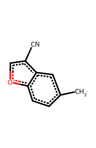 [CH2]c1ccc2occ(C#N)c2c1